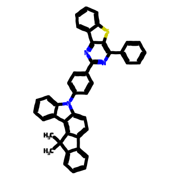 CC1(C)c2ccccc2-c2ccc3c(c21)c1ccccc1n3-c1ccc(-c2nc(-c3ccccc3)c3sc4ccccc4c3n2)cc1